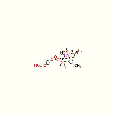 COc1ccc(C(O[C@H]2[C@@H](OC(C)=O)[C@@H]3CC(OC(=O)COc4ccc(OCC(=O)O)cc4)C[C@H]2N3C)(c2ccc(OC)cc2)c2ccc(OC)cc2)cc1